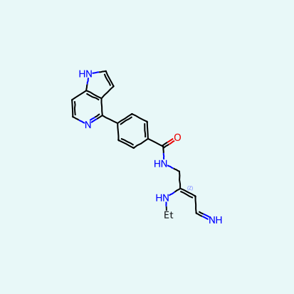 CCN/C(=C\C=N)CNC(=O)c1ccc(-c2nccc3[nH]ccc23)cc1